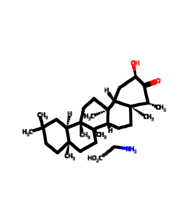 C[C@H]1C(=O)[C@H](O)C[C@@H]2[C@]1(C)CC[C@H]1[C@@]2(C)CC[C@@]2(C)[C@@H]3CC(C)(C)CC[C@]3(C)CC[C@]12C.NCC(=O)O